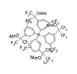 COC(c1cc([B-](c2cc(C(F)(F)F)cc(C(OC)(C(F)(F)F)C(F)(F)F)c2)(c2cc(C(F)(F)F)cc(C(OC)(C(F)(F)F)C(F)(F)F)c2)c2cc(C(F)(F)F)cc(C(OC)(C(F)(F)F)C(F)(F)F)c2)cc(C(F)(F)F)c1)(C(F)(F)F)C(F)(F)F.[Li+]